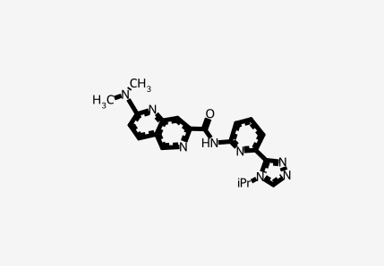 CC(C)n1cnnc1-c1cccc(NC(=O)c2cc3nc(N(C)C)ccc3cn2)n1